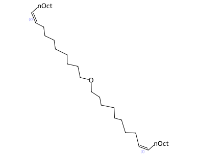 CCCCCCCC/C=C\CCCCCCCCOCCCCCCCC/C=C\CCCCCCCC